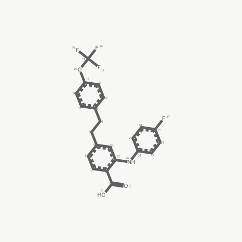 O=C(O)c1ccc(CCc2ccc(OC(F)(F)F)cc2)cc1Nc1ccc(F)cc1